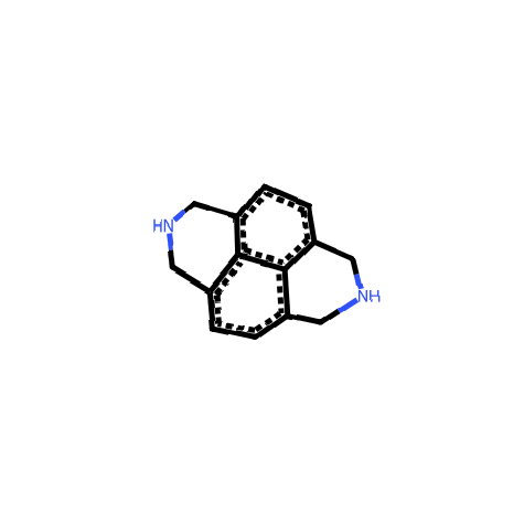 c1cc2c3c(ccc4c3c1CNC4)CNC2